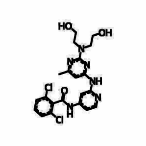 Cc1cc(Nc2cc(NC(=O)c3c(Cl)cccc3Cl)ccn2)nc(N(CCO)CCO)n1